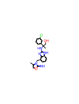 Cc1coc(=N)n1Cc1cccc2[nH]c(NC(C)(CO)c3cccc(Cl)c3)nc12